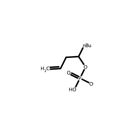 C=CCC(CCCC)OP([O])(=O)O